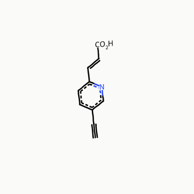 C#Cc1ccc(/C=C/C(=O)O)nc1